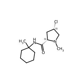 CN1C[C@@H](Cl)C[C@H]1C(=O)NC1(C)CCCCC1